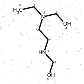 CCN(CO)CCNCO